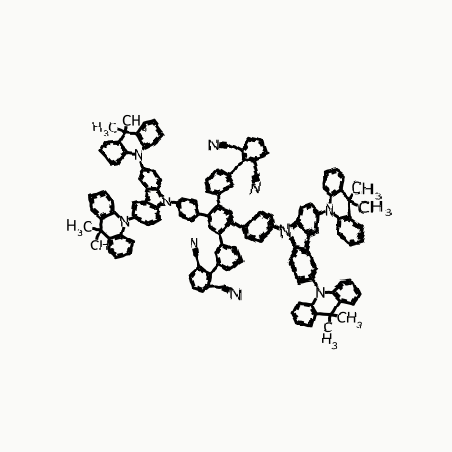 CC1(C)c2ccccc2N(c2ccc3c(c2)c2cc(N4c5ccccc5C(C)(C)c5ccccc54)ccc2n3-c2ccc(-c3cc(-c4cccc(-c5c(C#N)cccc5C#N)c4)c(-c4ccc(-n5c6ccc(N7c8ccccc8C(C)(C)c8ccccc87)cc6c6cc(N7c8ccccc8C(C)(C)c8ccccc87)ccc65)cc4)cc3-c3cccc(-c4c(C#N)cccc4C#N)c3)cc2)c2ccccc21